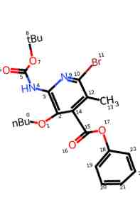 CCCCOc1c(NC(=O)OC(C)(C)C)nc(Br)c(C)c1C(=O)Oc1ccccc1